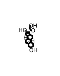 C[C@]12CC[C@H]3[C@@H](CC=C4CC(O)CC[C@@]43C)[C@@H]1C[C@@H](O)[C@@H]2C(=O)CO